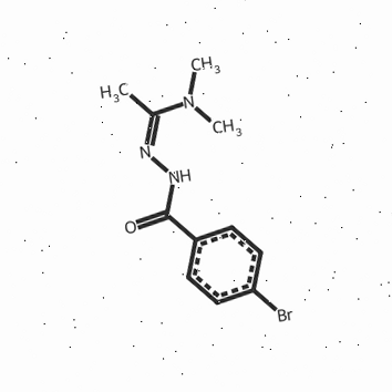 C/C(=N/NC(=O)c1ccc(Br)cc1)N(C)C